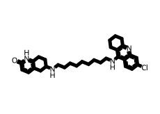 O=c1ccc2c([nH]1)CCC(NCCCCCCCCCNc1c3c(nc4cc(Cl)ccc14)CCCC3)C2